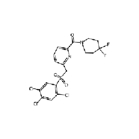 O=C(c1cccc(CS(=O)(=O)c2cc(Cl)c(Cl)cc2Cl)n1)N1CCC(F)(F)CC1